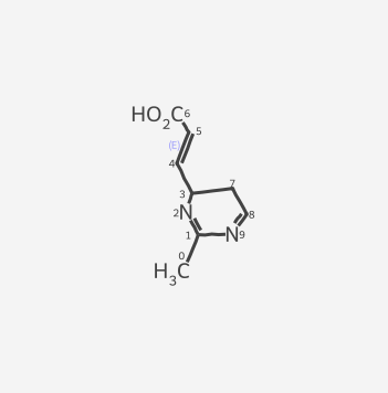 CC1=NC(/C=C/C(=O)O)CC=N1